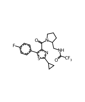 O=C(c1nc(C2CC2)sc1-c1ccc(F)cc1)N1CCCC1CNC(=O)C(F)(F)F